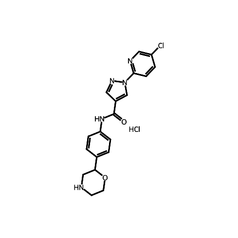 Cl.O=C(Nc1ccc(C2CNCCO2)cc1)c1cnn(-c2ccc(Cl)cn2)c1